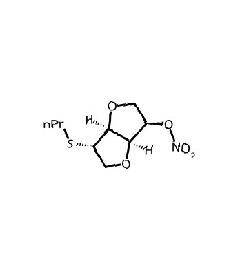 CCCS[C@H]1CO[C@H]2[C@@H]1OC[C@H]2O[N+](=O)[O-]